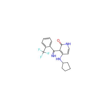 N=C(c1ccccc1C(F)(F)F)c1c(NC2CCCC2)cc[nH]c1=O